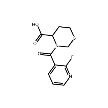 O=C(O)C1CCSCN1C(=O)c1cccnc1F